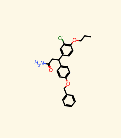 CCCOc1ccc(C(CC(N)=O)c2ccc(OCc3ccccc3)cc2)cc1Cl